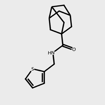 O=C(NCc1cccs1)C12CC3CC(C1)C(C3)C2